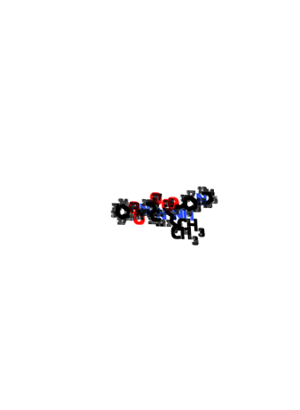 CC(C)CC(NC(=O)c1ccc(N2CCCC2)cc1)C(=O)N1CCC2C1C(=O)CN2C(=O)Oc1ccccc1